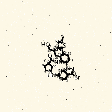 CNC(=O)[C@]1(C)CC[C@@H](Nc2ncc3c(Br)nn(-c4ccc(-c5nnc(C)s5)c(CC(C#N)CO)c4)c3n2)C1